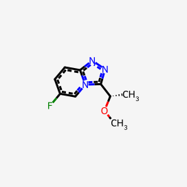 CO[C@@H](C)c1nnc2ccc(F)cn12